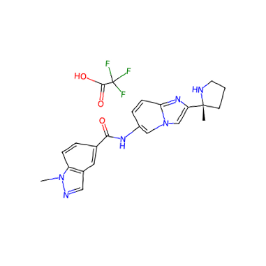 Cn1ncc2cc(C(=O)Nc3ccc4nc([C@@]5(C)CCCN5)cn4c3)ccc21.O=C(O)C(F)(F)F